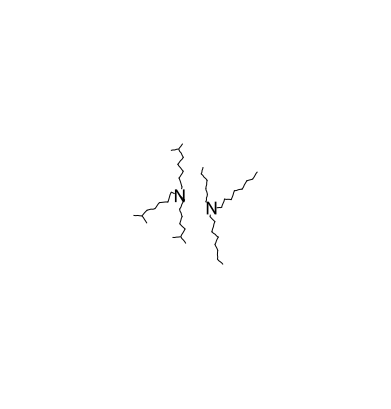 CC(C)CCCCCN(CCCCCC(C)C)CCCCCC(C)C.CCCCCCCCN(CCCCCC)CCCCCCCC